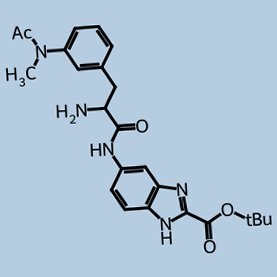 CC(=O)N(C)c1cccc(CC(N)C(=O)Nc2ccc3[nH]c(C(=O)OC(C)(C)C)nc3c2)c1